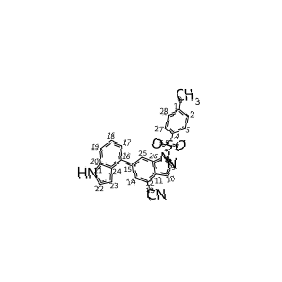 Cc1ccc(S(=O)(=O)n2ncc3c(C#N)cc(-c4cccc5[nH]ccc45)cc32)cc1